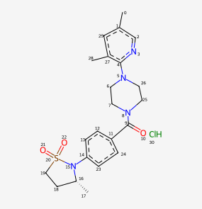 Cc1cnc(N2CCN(C(=O)c3ccc(N4[C@H](C)CCS4(=O)=O)cc3)CC2)c(C)c1.Cl